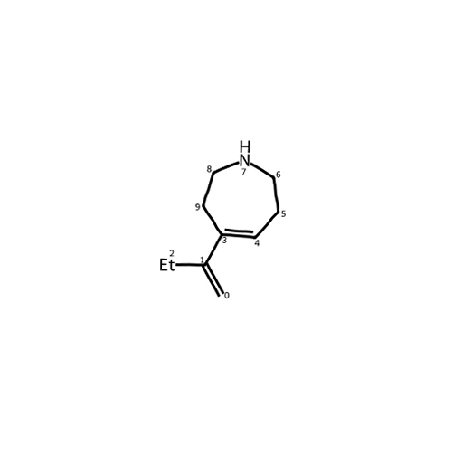 C=C(CC)C1=CCCNCC1